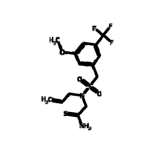 C=CCN(CC(N)=S)S(=O)(=O)Cc1cc(OC)cc(C(F)(F)F)c1